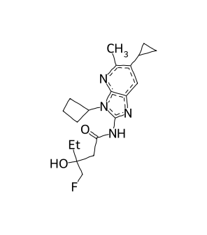 CCC(O)(CF)CC(=O)Nc1nc2cc(C3CC3)c(C)nc2n1C1CCC1